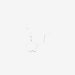 CCC(C)C1=[C]([Zr])CC=C1.Cl.Cl